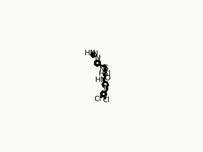 CN(c1cccc(-c2csc(SCC(=O)NC3CCN(Cc4ccc(Cl)c(Cl)c4)CC3)n2)c1)c1cc[nH]n1.Cl